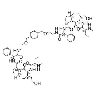 CC[C@H](NC)C(=O)N[C@@H]1C(=O)N2[C@@H](CC[C@@H]1CCO)CC[C@H]2C(=O)N[C@H](C(=O)NCCOCc1ccc(COCCNC(=O)[C@@H](NC(=O)[C@@H]2CC[C@@H]3CC[C@H](CO)[C@H](NC(=O)[C@H](CC)NC)C(=O)N32)c2ccccc2)cc1)c1ccccc1